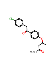 COC(=O)CC(C)Oc1ccc(C(=O)Cc2ccc(Cl)cc2)cc1